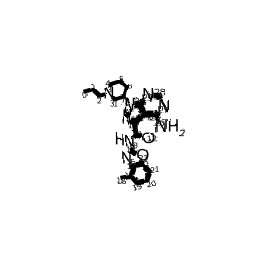 CC=CN1CCC[C@@H](n2nc(C(=O)Nc3nc4c(C)cccc4o3)c3c(N)ncnc32)C1